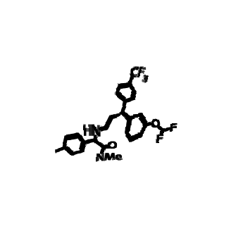 CNC(=O)[C@H](NCC[C@@H](c1ccc(C(F)(F)F)cc1)c1cccc(OC(F)F)c1)c1ccc(C)cc1